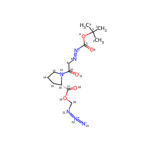 CC(C)(C)OC(=O)N=NCC(=O)N1CCC[C@H]1C(=O)OCN=[N+]=[N-]